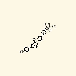 CC(C)[C@H](N)C(=O)OC1CCN(c2ccc(-n3cnn4cc(-c5ccc(Cl)cc5)cc4c3=O)cn2)CC1